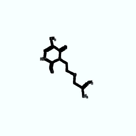 C=C(C)COCCn1c(=O)[nH]cc(C)c1=O